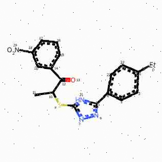 CCc1ccc(-c2nnc(SC(C)C(=O)c3cccc([N+](=O)[O-])c3)[nH]2)cc1